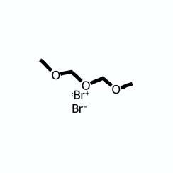 COCOCOC.[Br+].[Br-]